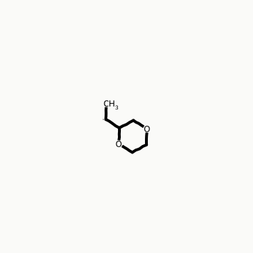 C[CH]C1COCCO1